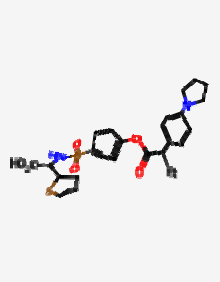 CCC(C(=O)Oc1ccc(S(=O)(=O)NC(C(=O)O)c2cccs2)cc1)c1ccc(N2CCCC2)cc1